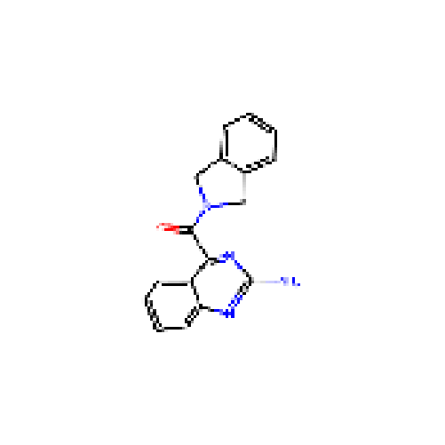 Nc1nc(C(=O)N2Cc3ccccc3C2)c2ccccc2n1